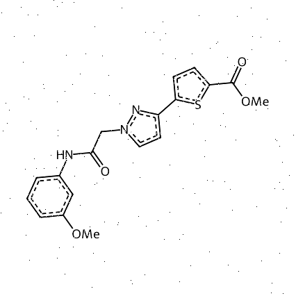 COC(=O)c1ccc(-c2ccn(CC(=O)Nc3cccc(OC)c3)n2)s1